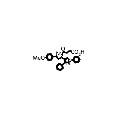 COc1ccc(C2=NN(C(=O)CCC(=O)O)C(c3cn(-c4ccccc4)nc3-c3ccccc3)C2)cc1